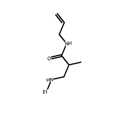 C=CCNC(=O)C(C)CNCC